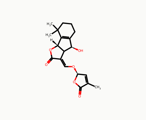 CC1=C[C@H](O/C=C2/C(=O)O[C@@H]3C4=C(CCCC4(C)C)[C@@H](O)C23)OC1=O